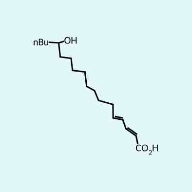 CCCCC(O)CCCCCCCCC=CC=CC(=O)O